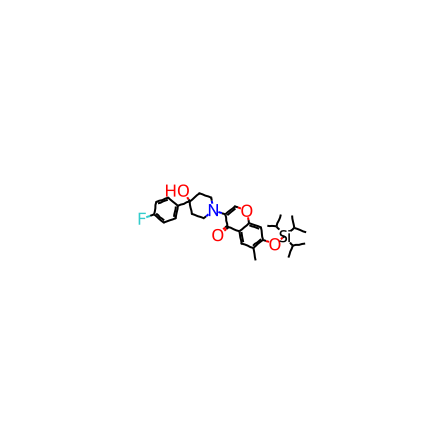 Cc1cc2c(=O)c(N3CCC(O)(c4ccc(F)cc4)CC3)coc2cc1O[Si](C(C)C)(C(C)C)C(C)C